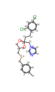 Cc1ccc(CSCC2COC(CCc3ccc(Cl)cc3Cl)(Cn3ccnc3)O2)cc1